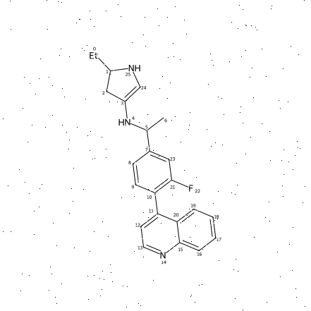 CCC1CC(NC(C)c2ccc(-c3ccnc4ccccc34)c(F)c2)=CN1